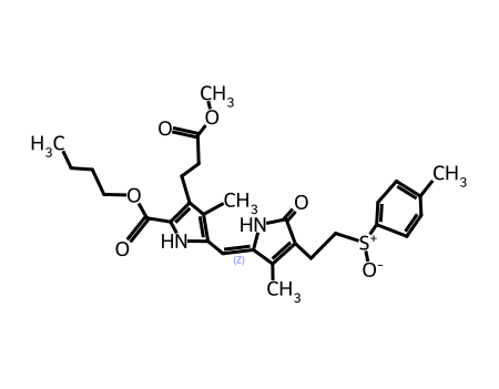 CCCCOC(=O)c1[nH]c(/C=C2\NC(=O)C(CC[S+]([O-])c3ccc(C)cc3)=C2C)c(C)c1CCC(=O)OC